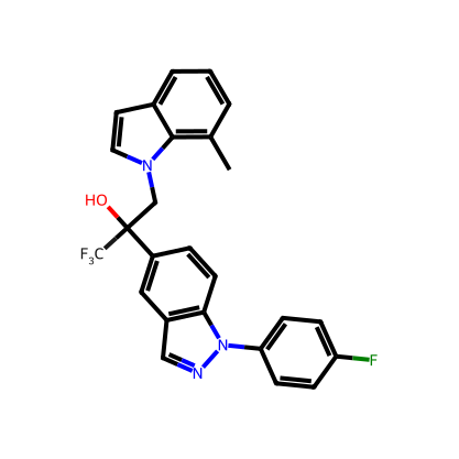 Cc1cccc2ccn(CC(O)(c3ccc4c(cnn4-c4ccc(F)cc4)c3)C(F)(F)F)c12